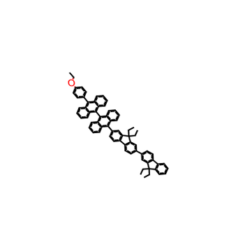 CCOc1ccc(-c2c3ccccc3c(-c3c4ccccc4c(-c4ccc5c(c4)C(CC)(CC)c4cc(-c6ccc7c(c6)C(CC)(CC)c6ccccc6-7)ccc4-5)c4ccccc34)c3ccccc23)cc1